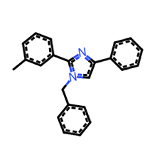 Cc1cccc(-c2nc(-c3ccccc3)cn2Cc2ccccc2)c1